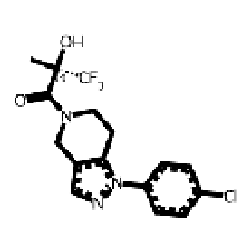 C[C@@](O)(C(=O)N1CCc2c(cnn2-c2ccc(Cl)cc2)C1)C(F)(F)F